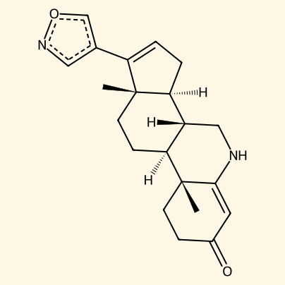 C[C@]12CCC(=O)C=C1NC[C@@H]1[C@@H]2CC[C@]2(C)C(c3cnoc3)=CC[C@@H]12